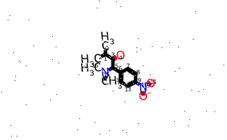 CC(C)C(=O)C(c1ccc([N+](=O)[O-])cc1)N(C)C